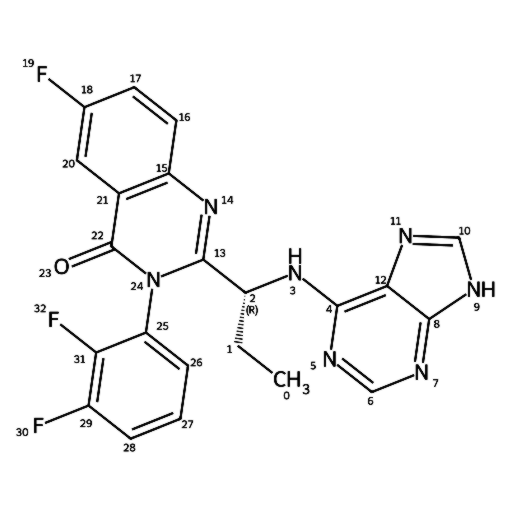 CC[C@@H](Nc1ncnc2[nH]cnc12)c1nc2ccc(F)cc2c(=O)n1-c1cccc(F)c1F